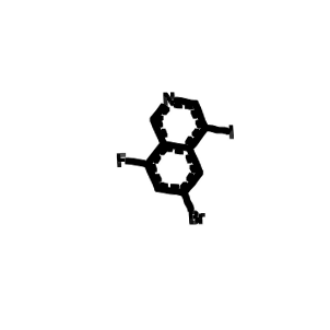 Fc1cc(Br)cc2c(I)cncc12